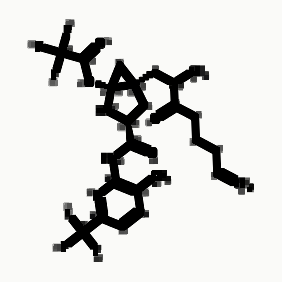 C=CCCCC(=O)N(C)C[C@]12C[C@@H](C(=O)Nc3nc(C(F)(F)F)ccc3C)N[C@@]1(OC(=O)C(F)(F)F)C2